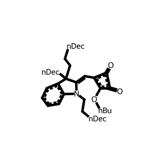 CCCCCCCCCCCCN1C(=Cc2c(OCCCC)c(=O)c2=O)C(CCCCCCCCCC)(CCCCCCCCCCCC)c2ccccc21